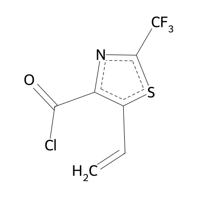 C=Cc1sc(C(F)(F)F)nc1C(=O)Cl